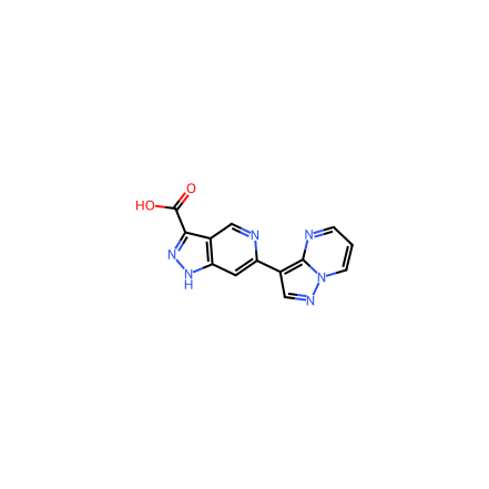 O=C(O)c1n[nH]c2cc(-c3cnn4cccnc34)ncc12